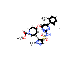 Cc1cccc(C)c1-c1cc(OC2CCCN(C(=O)OC(C)(C)C)CC2)nc(NS(=O)(=O)c2cnn(C)c2)n1